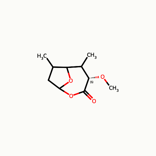 CO[C@@H]1C(=O)OC2CC(C)C(O2)C1C